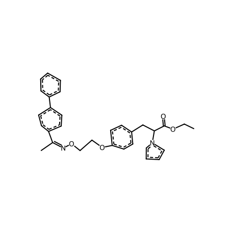 CCOC(=O)C(Cc1ccc(OCCON=C(C)c2ccc(-c3ccccc3)cc2)cc1)n1cccc1